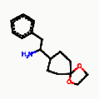 NC(Cc1ccccc1)C1CCC2(CC1)OCCO2